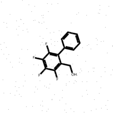 OCc1c(F)c(F)c(F)c(F)c1-c1ccccc1